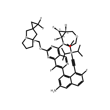 CC(C)[Si](C#Cc1c(F)ccc2cc(N)cc(-c3ncc4c(N5CCOC[C@H]6[C@H](F)[C@H]65)nc(OC[C@@]56CCCN5CC5(CC5(F)F)C6)nc4c3F)c12)(C(C)C)C(C)C